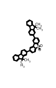 CC1(C)c2ccccc2-c2ccc(-c3ccc4c(c3)-c3cc(-c5ccc6c(c5)C(C)(C)c5ccccc5-6)ccc3S4(=O)=O)cc21